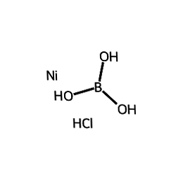 Cl.OB(O)O.[Ni]